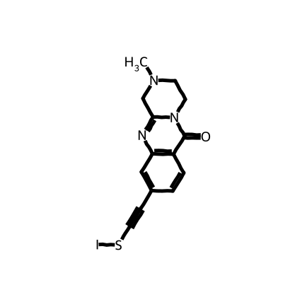 CN1CCn2c(nc3cc(C#CSI)ccc3c2=O)C1